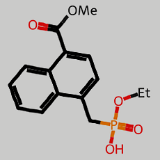 CCOP(=O)(O)Cc1ccc(C(=O)OC)c2ccccc12